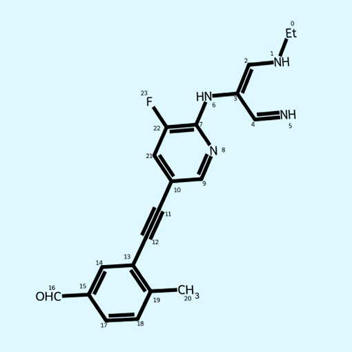 CCN/C=C(\C=N)Nc1ncc(C#Cc2cc(C=O)ccc2C)cc1F